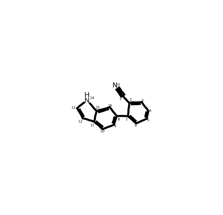 N#Cc1ccccc1-c1ccc2cc[nH]c2c1